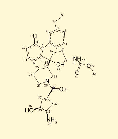 CCc1cccc(-c2c(Cl)cccc2C(O)(CCCNC(=O)OC)[C@@H]2CCCN(C(=O)[C@H]3C[C@@H](N)[C@@H](O)C3)C2)c1